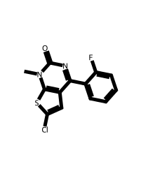 Cn1c(=O)nc(-c2ccccc2F)c2cc(Cl)sc21